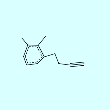 C#CCCc1cccc(C)c1C